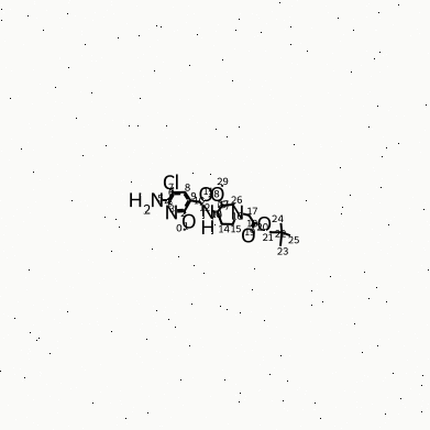 COc1nc(N)c(Cl)cc1C(=O)N[C@@H]1CCN(CC(=O)OCC(C)(C)C)C[C@@H]1OC